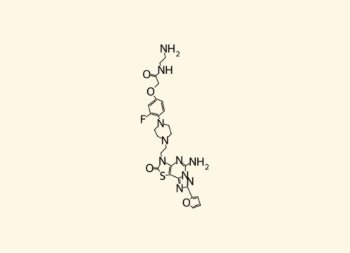 NCCNC(=O)COc1ccc(N2CCN(CCn3c(=O)sc4c3nc(N)n3nc(-c5ccco5)nc43)CC2)c(F)c1